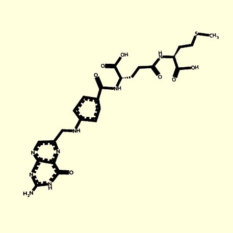 CSCC[C@H](NC(=O)CC[C@H](NC(=O)c1ccc(NCc2cnc3nc(N)[nH]c(=O)c3n2)cc1)C(=O)O)C(=O)O